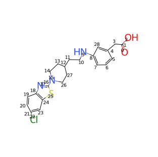 O=C(O)Cc1cccc(NCCC2CCN(c3nc4ccc(Cl)cc4s3)CC2)c1